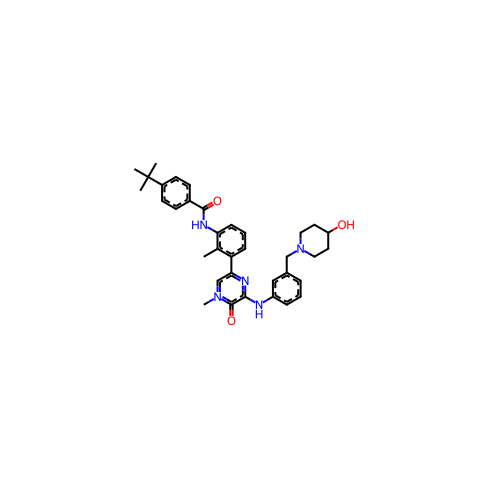 Cc1c(NC(=O)c2ccc(C(C)(C)C)cc2)cccc1-c1cn(C)c(=O)c(Nc2cccc(CN3CCC(O)CC3)c2)n1